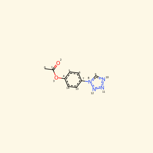 CC(=O)Oc1ccc(-n2cnnn2)cc1